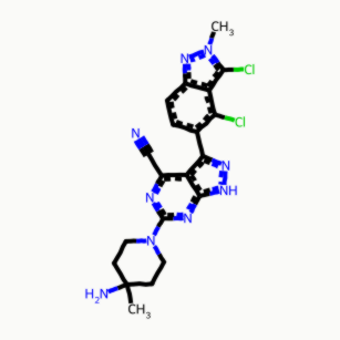 Cn1nc2ccc(-c3n[nH]c4nc(N5CCC(C)(N)CC5)nc(C#N)c34)c(Cl)c2c1Cl